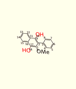 COc1c(-c2ccccc2)c(O)c2ccccc2c1O